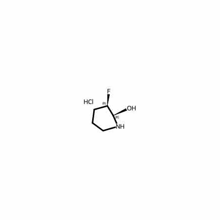 Cl.O[C@H]1NCCC[C@H]1F